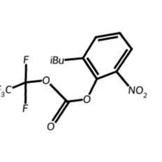 CCC(C)c1cccc([N+](=O)[O-])c1OC(=O)OC(F)(F)C(F)(F)F